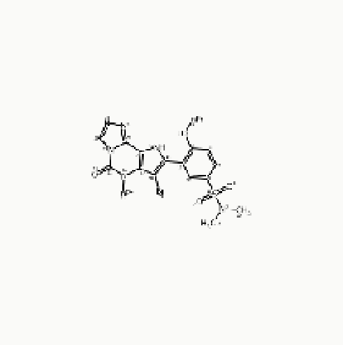 CCCOc1ccc(S(=O)(=O)N(C)C)cc1-c1[nH]c2c(c1Br)n(CCC)c(=O)n1cnnc21